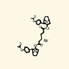 CC(=O)Oc1ccc(C[N+]2(C)C3CCC2CC(OC(=O)CCCCC(=O)OC2CC4CCC(C2)[N+]4(C)Cc2ccc(OC(C)=O)cc2)C3)cc1.[Br-].[Br-]